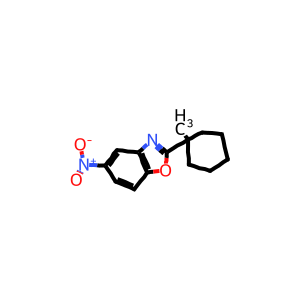 CC1(c2nc3cc([N+](=O)[O-])ccc3o2)CCCCC1